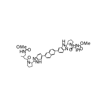 COC(=O)NCC(C)CC(=O)N1CCCC1c1nc2ccc(-c3ccc4cc(-c5ccc6nc(C7CCCN7C(=O)C(NC(=O)OC)C(C)C)[nH]c6c5)ccc4c3)cc2[nH]1